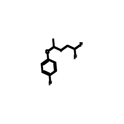 CC([CH]CC(F)F)Oc1ccc(F)cc1